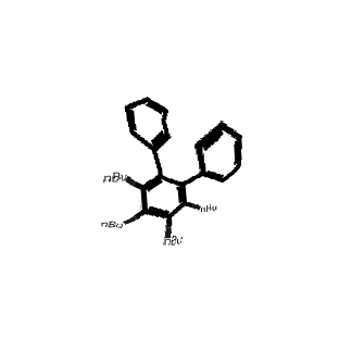 CCCCc1c(CCCC)c(CCCC)c(-c2ccccc2)c(-c2ccccc2)c1CCCC